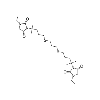 CCN1CC(=O)N(C(C)(C)CCCSCCCSCCCC(C)(C)N2C(=O)CN(CC)C2=O)C1=O